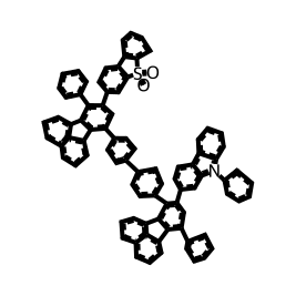 O=S1(=O)c2ccccc2-c2ccc(-c3cc(-c4ccc(-c5ccc(-c6c(-c7ccc8c9ccccc9n(-c9ccccc9)c8c7)cc(-c7ccccc7)c7c6-c6cccc8cccc-7c68)cc5)cc4)c4c(c3-c3ccccc3)-c3cccc5cccc-4c35)cc21